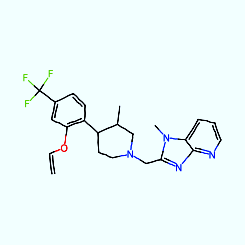 C=COc1cc(C(F)(F)F)ccc1C1CCN(Cc2nc3ncccc3n2C)CC1C